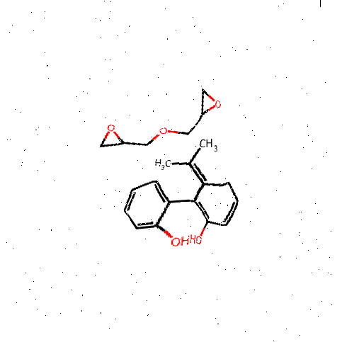 C(OCC1CO1)C1CO1.CC(C)=C1CC=CC(O)=C1c1ccccc1O